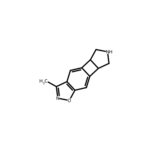 Cc1noc2cc3c(cc12)C1CNCC31